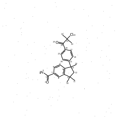 CC(C)C(=O)c1ccc2c(c1)C(C)(C)CC2(C)c1ccc(C(=O)C(C)(C)Cl)cc1